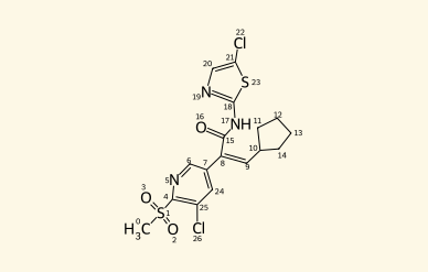 CS(=O)(=O)c1ncc(C(=CC2CCCC2)C(=O)Nc2ncc(Cl)s2)cc1Cl